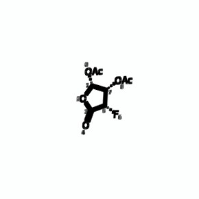 CC(=O)O[C@H]1OC(=O)[C@@H](F)[C@H]1OC(C)=O